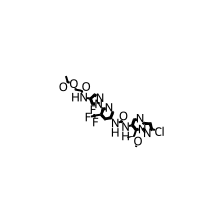 CO[C@@H](C)c1c(NC(=O)Nc2cnc(-n3cc(NC(=O)COC(C)=O)cn3)c(C(F)(F)F)c2)cnc2cc(Cl)nn12